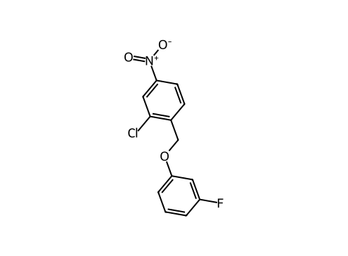 O=[N+]([O-])c1ccc(COc2cccc(F)c2)c(Cl)c1